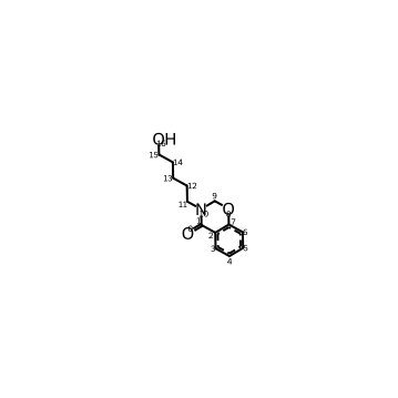 O=C1c2ccccc2OCN1CCCCCO